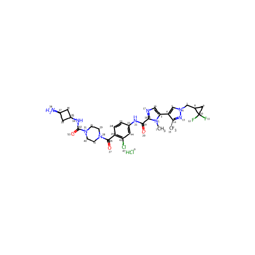 Cl.Cn1c(-c2cn(CC3CC3(F)F)nc2C(F)(F)F)cnc1C(=O)Nc1ccc(C(=O)N2CCN(C(=O)NC3CC(N)C3)CC2)c(Cl)c1